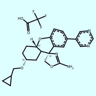 NC1=N[C@]2(CO1)c1cc(-c3cncnc3)ccc1O[C@H]1CC[C@@H](OCC3CC3)CC12.O=C(O)C(F)(F)F